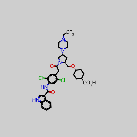 O=C(Nc1cc(Cl)c(CC(=O)N2C[C@@H](N3CCN(CC(F)(F)F)CC3)C[C@H]2CO[C@H]2CC[C@H](C(=O)O)CC2)cc1Cl)c1c[nH]c2ccccc12